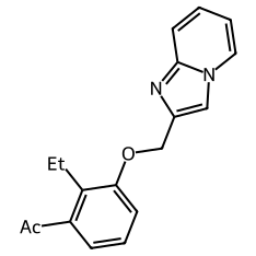 CCc1c(OCc2cn3ccccc3n2)cccc1C(C)=O